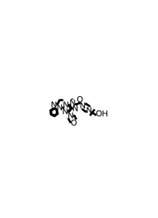 CCc1nc2ccccc2n1-c1nc(N2CCOCC2)c2nc(C(=O)N3CCN(C(C)(C)CO)CC3)n(C)c2n1